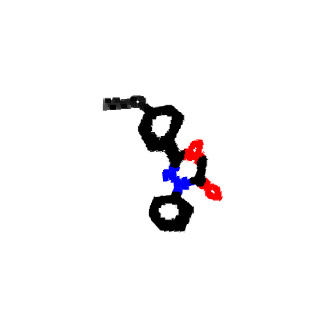 COc1ccc(C2=NN(c3ccccc3)C(=O)CO2)cc1